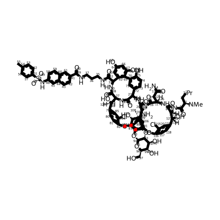 CN[C@H](CC(C)C)C(=O)N[C@H]1C(=O)N[C@@H](CC(N)=O)C(=O)NC2C(=O)N[C@H]3C(=O)N[C@H](C(=O)NC(C(=O)NCCCNC(=O)c4ccc5cc(NS(=O)(=O)c6ccc(C)cc6)ccc5c4)c4cc(O)cc(O)c4-c4cc3ccc4O)[C@H](O)c3ccc(c(Cl)c3)Oc3cc2cc(c3O[C@@H]2O[C@H](CO)[C@@H](O)[C@H](O)[C@H]2OC2C[C@](C)(N)[C@H](O)[C@H](C)O2)Oc2ccc(cc2Cl)[C@H]1O